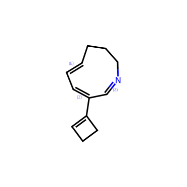 C1=C(C2=C/C=C/CCC/N=C\2)CC1